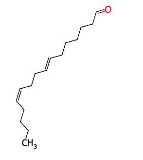 CCCC/C=C\CC/C=C/CCCCCC=O